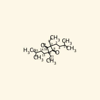 CCC1(CCC(C)C)C(=O)C(CC)(CCC(C)C)C1=O